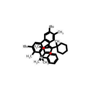 [CH2]=[Zr]([CH3])([C]1=CC(C2(C)CCCCC2)=CC1C)([c]1ccccc1)[c]1c(C)c(C(C)(C)C)cc2c1Cc1cc(C)c(C(C)(C)C)cc1-2